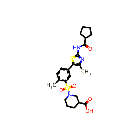 Cc1ccc(-c2sc(NC(=O)C3CCCC3)nc2C)cc1S(=O)(=O)N1CCCC(C(=O)O)C1